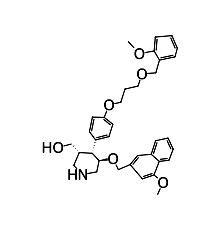 COc1ccccc1COCCCOc1ccc([C@H]2[C@@H](CO)CNC[C@@H]2OCc2cc(OC)c3ccccc3c2)cc1